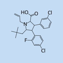 C=CCN1C(CC(C)(C)C)C(c2ccc(Cl)cc2F)C(c2cccc(Cl)c2)C1C(=O)O